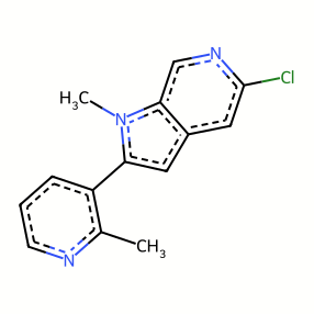 Cc1ncccc1-c1cc2cc(Cl)ncc2n1C